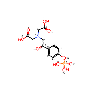 O=C(O)CN(CC(=O)O)CC(=O)c1ccc(OP(=O)(O)O)cc1